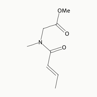 CC=CC(=O)N(C)CC(=O)OC